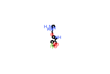 Nc1cccnc1NCCCOc1ccc2c(C(CC(=O)OC(=O)C(F)(F)F)c3ccccc3)c[nH]c2c1